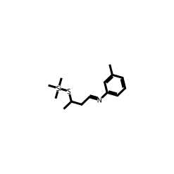 Cc1cccc(N=CCC(C)S[Si](C)(C)C)c1